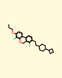 CCCOc1ccc2c(c1F)OCc1c-2ccc(CCC2CCC(C3CCC3)CC2)c1F